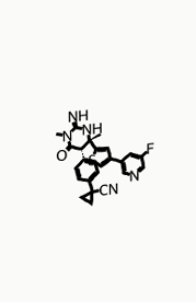 CN1C(=N)N[C@](C)(c2cc(-c3cncc(F)c3)cs2)[C@H](c2ccc(C3(C#N)CC3)cc2)C1=O